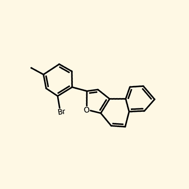 Cc1ccc(-c2cc3c(ccc4ccccc43)o2)c(Br)c1